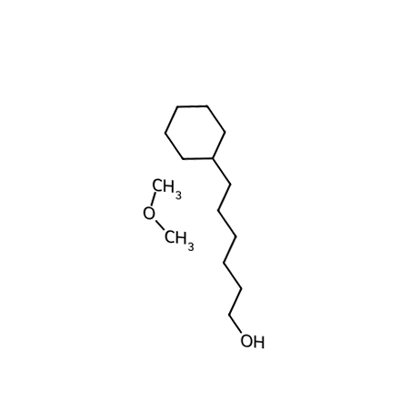 COC.OCCCCCCC1CCCCC1